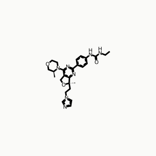 CCNC(=O)Nc1ccc(-c2nc(N3CCOC[C@@H]3C)c3c(n2)[C@@](C)(CCn2ccnc2)OC3)cc1